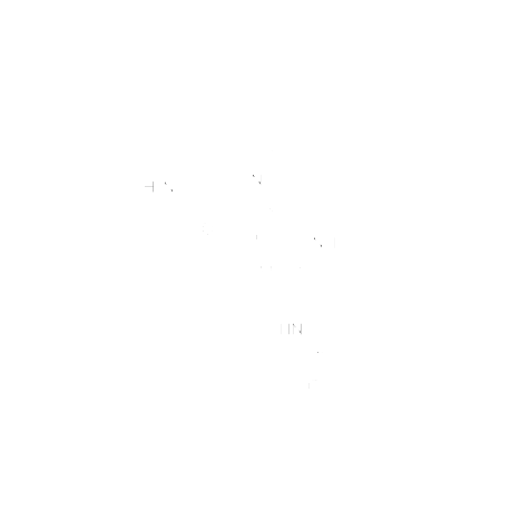 CC(C)C[C@H](NC(=O)[C@@H]1CCC(=O)N1)C(=O)N1CCC[C@H]1C(N)=O